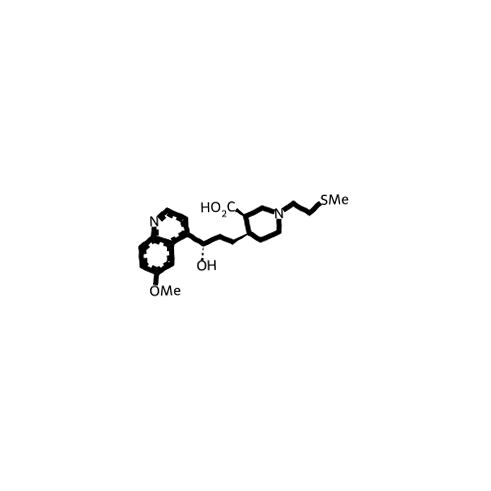 COc1ccc2nccc([C@@H](O)CC[C@@H]3CCN(CCSC)C[C@@H]3C(=O)O)c2c1